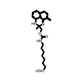 C=c1ccc2cccc3c2c1=NC(C)(COC(=O)NCCCCCCCCCCCCCCCCC)N3